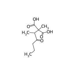 CCCC(=O)C(C)C(C)(C(=O)O)C(=O)O